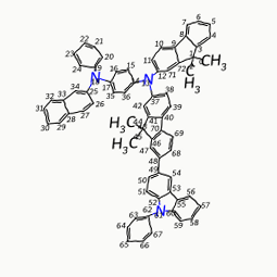 CC1(C)c2ccccc2-c2ccc(N(c3ccc(N(c4ccccc4)c4ccc5ccccc5c4)cc3)c3ccc4c(c3)C(C)(C)c3cc(-c5ccc6c(c5)c5ccccc5n6-c5ccccc5)ccc3-4)cc21